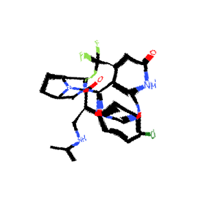 CC(C)NC[C@@H](C(=O)N1C2CCC1CN(c1ncnc3c1[C@@H](C(F)(F)F)CC(=O)N3)C2)c1ccc(Cl)cc1